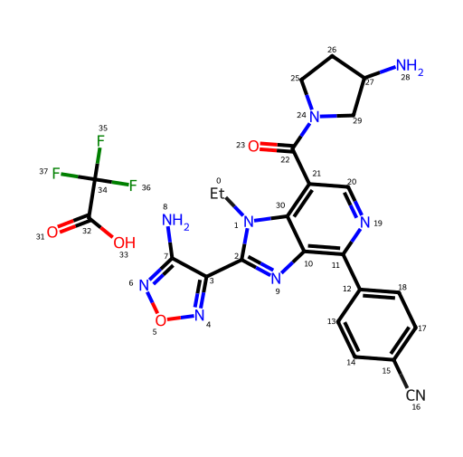 CCn1c(-c2nonc2N)nc2c(-c3ccc(C#N)cc3)ncc(C(=O)N3CCC(N)C3)c21.O=C(O)C(F)(F)F